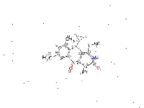 [C-]#[N+]Cc1[nH]c(=O)c(C(C)C)c(C(=O)c2cc(C)cc(C)c2)c1CC1CC1